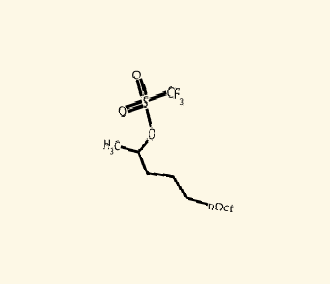 CCCCCCCCCCCC(C)OS(=O)(=O)C(F)(F)F